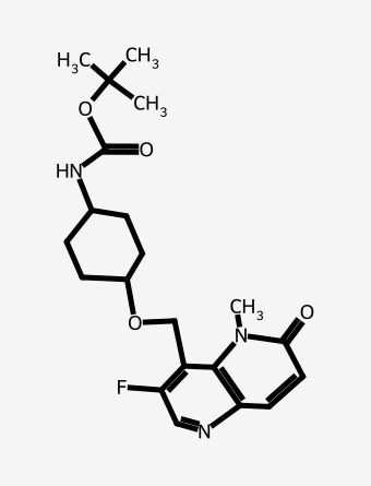 Cn1c(=O)ccc2ncc(F)c(COC3CCC(NC(=O)OC(C)(C)C)CC3)c21